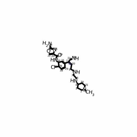 CN1CCC(NCCNC/C=C(/C=N)C2=CC(NC(=O)c3coc(N)n3)C(Cl)C=C2)CC1